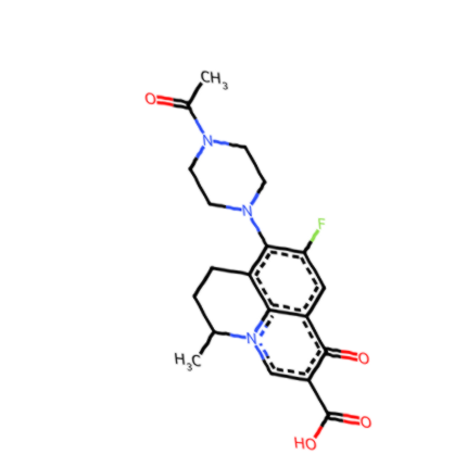 CC(=O)N1CCN(c2c(F)cc3c(=O)c(C(=O)O)cn4c3c2CCC4C)CC1